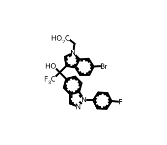 O=C(O)Cn1cc(C(O)(c2ccc3c(cnn3-c3ccc(F)cc3)c2)C(F)(F)F)c2ccc(Br)cc21